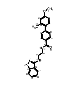 COc1ccc(-c2ccc(C(=O)NCCNc3nsc4ccccc34)cc2)c(C)c1